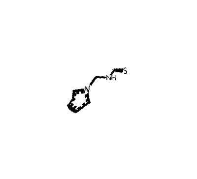 S=[C]NCn1cccc1